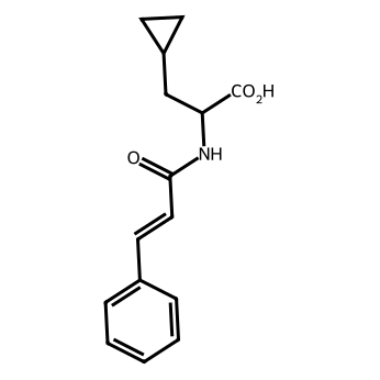 O=C(C=Cc1ccccc1)NC(CC1CC1)C(=O)O